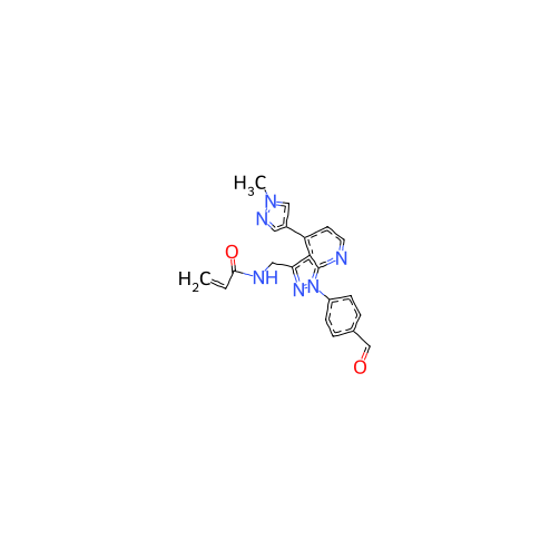 C=CC(=O)NCc1nn(-c2ccc(C=O)cc2)c2nccc(-c3cnn(C)c3)c12